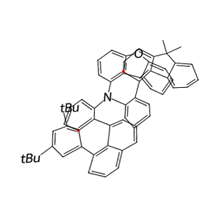 CC(C)(C)c1cc(-c2cccc3cccc(-c4ccccc4N(c4ccccc4-c4cccc5c4-c4ccccc4C5(C)C)c4cccc5oc6ccccc6c45)c23)cc(C(C)(C)C)c1